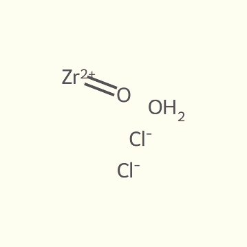 O.[Cl-].[Cl-].[O]=[Zr+2]